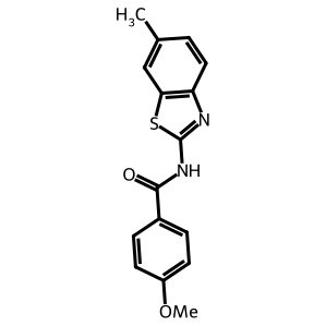 COc1ccc(C(=O)Nc2nc3ccc(C)cc3s2)cc1